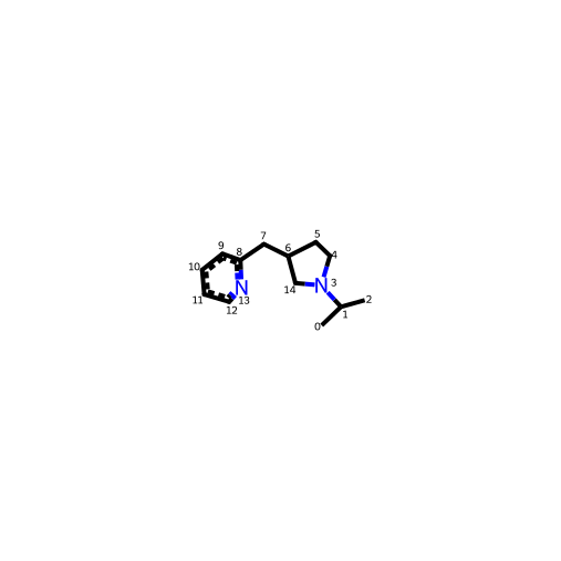 CC(C)N1CCC(Cc2ccccn2)C1